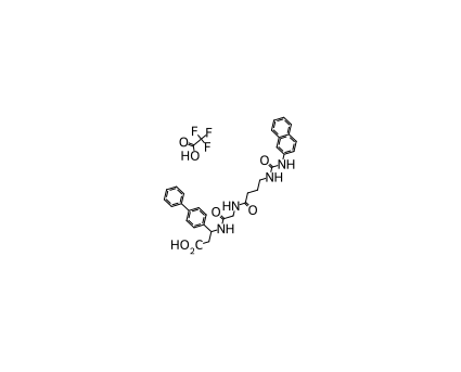 O=C(O)C(F)(F)F.O=C(O)CC(NC(=O)CNC(=O)CCCNC(=O)Nc1ccc2ccccc2c1)c1ccc(-c2ccccc2)cc1